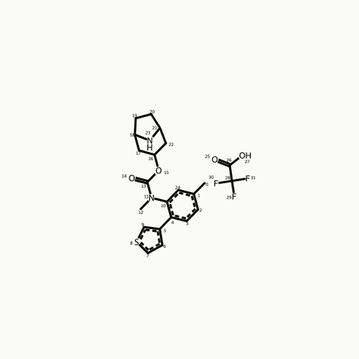 Cc1ccc(-c2ccsc2)c(N(C)C(=O)OC2CC3CCC(C2)N3)c1.O=C(O)C(F)(F)F